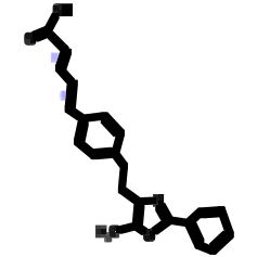 Cc1oc(-c2ccccc2)nc1CCc1ccc(/C=C/C=C/C(=O)O)cc1